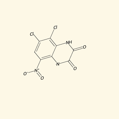 O=C1[N]c2c([N+](=O)[O-])cc(Cl)c(Cl)c2NC1=O